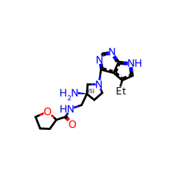 CCc1c[nH]c2ncnc(N3CC[C@](N)(CNC(=O)C4CCCO4)C3)c12